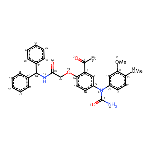 CCC(=O)c1cc(N(C(N)=O)c2ccc(OC)c(OC)c2)ccc1OCC(=O)NC(c1ccccc1)c1ccccc1